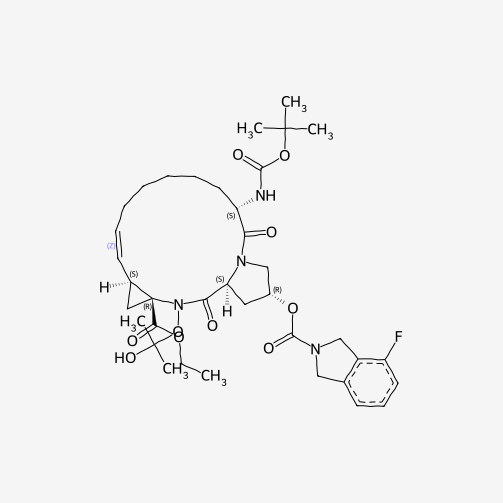 CCOC(=O)[C@@]12C[C@H]1/C=C\CCCCC[C@H](NC(=O)OC(C)(C)C)C(=O)N1C[C@H](OC(=O)N3Cc4cccc(F)c4C3)C[C@H]1C(=O)N2OC(C)(C)O